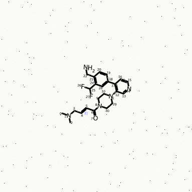 CN(C)C/C=C/C(=O)N1CCN(c2cnccc2-c2ccc(CN)c(C(F)F)c2)CC1